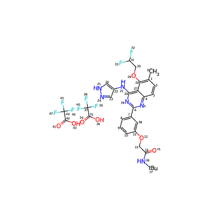 Cc1ccc2nc(-c3cccc(OCC(=O)NC(C)(C)C)c3)nc(Nc3cn[nH]c3)c2c1OCC(F)F.O=C(O)C(F)(F)F.O=C(O)C(F)(F)F